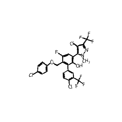 Cn1nc(C(F)(F)F)c(Cl)c1-c1cc(F)c(COc2ccc(Cl)cc2)c(-c2ccc(Cl)c(C(F)(F)F)c2)c1O